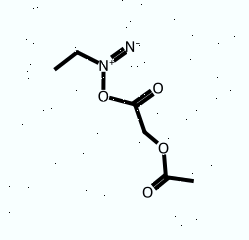 CC[N+](=[N-])OC(=O)COC(C)=O